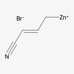 N#CC=C[CH2][Zn+].[Br-]